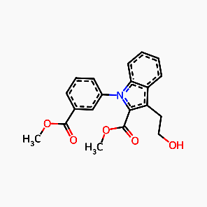 COC(=O)c1cccc(-n2c(C(=O)OC)c(CCO)c3ccccc32)c1